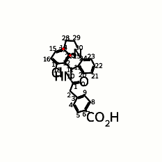 O=C(Cc1ccc(C(=O)O)cc1)NC(c1ccccc1Cl)c1ccccc1N1CCCCC1